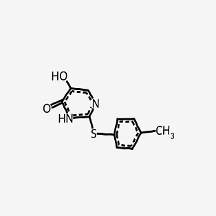 Cc1ccc(Sc2ncc(O)c(=O)[nH]2)cc1